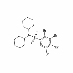 O=S(=O)(c1cc(Br)c(Br)c(Br)c1Br)N(C1CCCCC1)C1CCCCC1